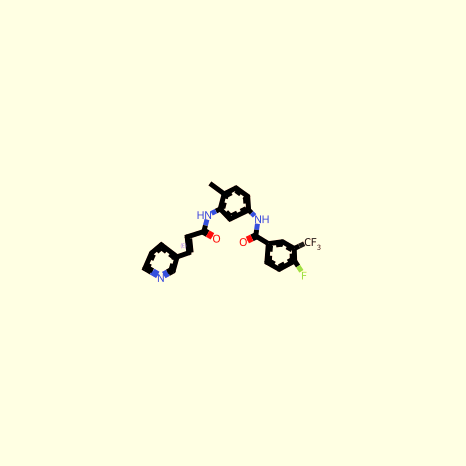 Cc1ccc(NC(=O)c2ccc(F)c(C(F)(F)F)c2)cc1NC(=O)/C=C/c1cccnc1